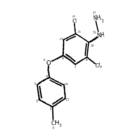 Cc1ccc(Oc2cc(Cl)c(NN)c(Cl)c2)cc1